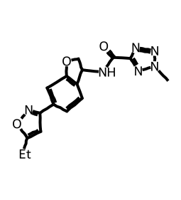 CCc1cc(-c2ccc3c(c2)OCC3NC(=O)c2nnn(C)n2)no1